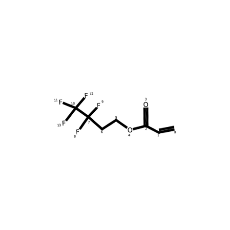 C=CC(=O)OCCC(F)(F)C(F)(F)F